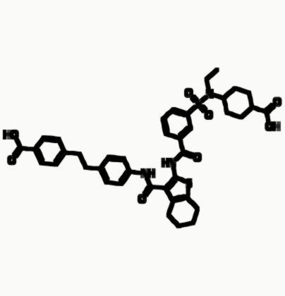 CCN(C1CCC(C(=O)O)CC1)S(=O)(=O)c1cccc(C(=O)Nc2sc3c(c2C(=O)Nc2ccc(CCc4ccc(C(=O)O)cc4)cc2)CCCC3)c1